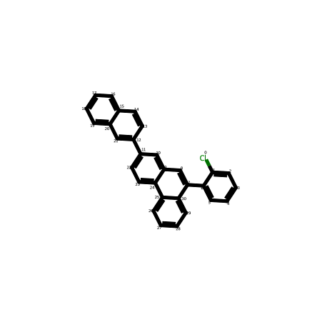 Clc1ccccc1-c1cc2cc(-c3ccc4ccccc4c3)ccc2c2ccccc12